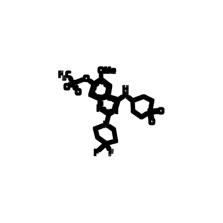 COc1cc2c(NC3CCS(=O)(=O)CC3)nc(N3CCC(F)(F)CC3)nc2cc1OS(=O)(=O)C(F)(F)F